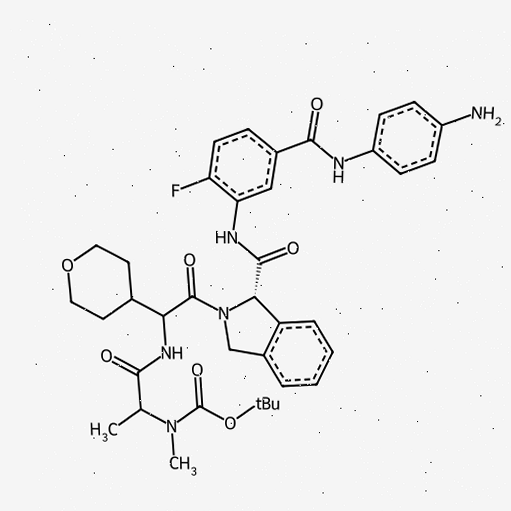 CC(C(=O)NC(C(=O)N1Cc2ccccc2[C@H]1C(=O)Nc1cc(C(=O)Nc2ccc(N)cc2)ccc1F)C1CCOCC1)N(C)C(=O)OC(C)(C)C